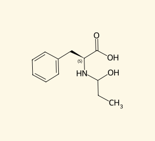 CCC(O)N[C@@H](Cc1ccccc1)C(=O)O